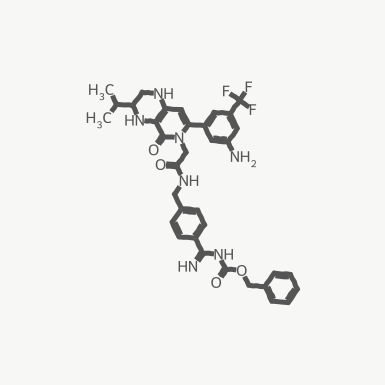 CC(C)C1CNc2cc(-c3cc(N)cc(C(F)(F)F)c3)n(CC(=O)NCc3ccc(C(=N)NC(=O)OCc4ccccc4)cc3)c(=O)c2N1